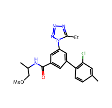 CCc1nnnn1-c1cc(C(=O)NC(C)COC)cc(-c2ccc(C)cc2Cl)c1